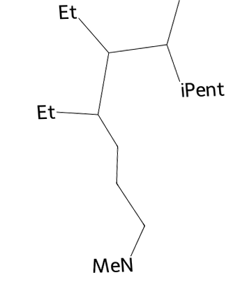 CCCC(C)C(C)C(CC)C(CC)CCCNC